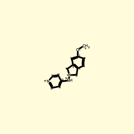 COc1ccc2c(c1)CN(Nc1ccncc1)C2